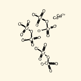 [Gd+3].[Gd+3].[O]=[Cr](=[O])([O-])[O][Cr](=[O])(=[O])[O-].[O]=[Cr](=[O])([O-])[O][Cr](=[O])(=[O])[O-].[O]=[Cr](=[O])([O-])[O][Cr](=[O])(=[O])[O-]